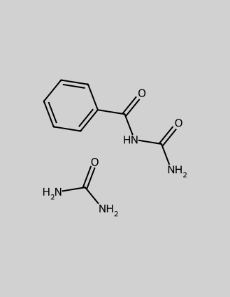 NC(=O)NC(=O)c1ccccc1.NC(N)=O